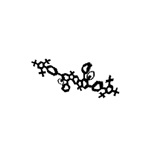 CC(C)(C)c1cc(C(C)(C)C)c(-c2ccc(-c3cc4c(c5c3oc3ccccc35)-c3cc5c(cc3C4(C)C)-c3c(cc(-c4ccc(-c6c(C(C)(C)C)cc(C(C)(C)C)cc6C(C)(C)C)cc4)c4oc6ccccc6c34)C5(C)C)cc2)c(C(C)(C)C)c1